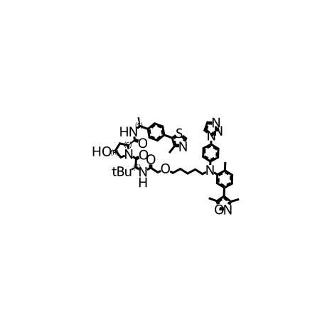 Cc1ccc(-c2c(C)noc2C)cc1N(CCCCCOCC(=O)N[C@H](C(=O)N1C[C@H](O)C[C@H]1C(=O)N[C@@H](C)c1ccc(-c2scnc2C)cc1)C(C)(C)C)c1ccc(-n2ccnn2)cc1